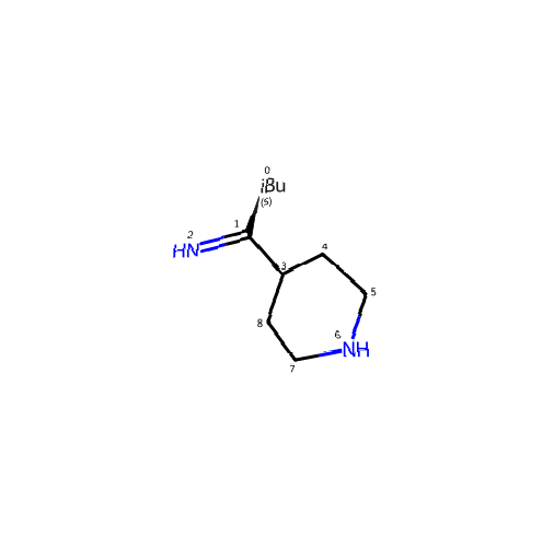 CC[C@H](C)C(=N)C1CCNCC1